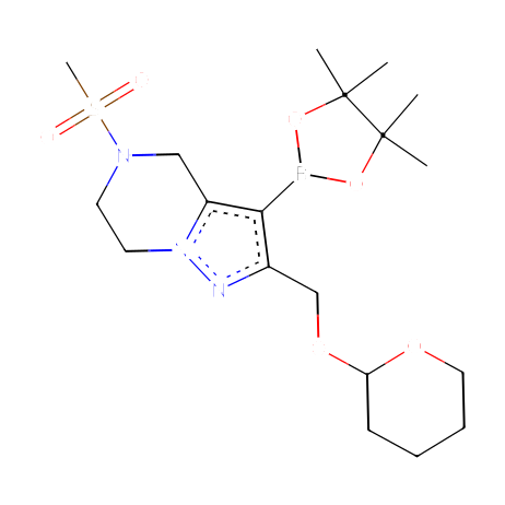 CC1(C)OB(c2c(COC3CCCCO3)nn3c2CN(S(C)(=O)=O)CC3)OC1(C)C